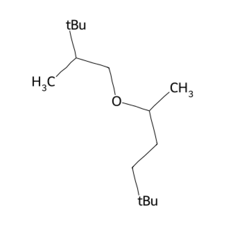 CC(CCC(C)(C)C)OCC(C)C(C)(C)C